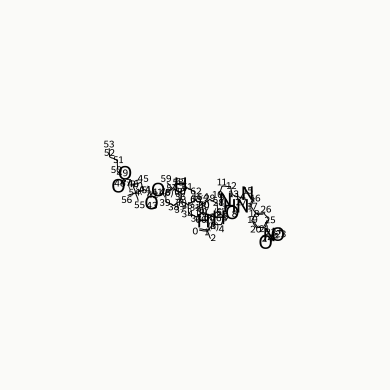 C=C(C)[C@@H]1CC[C@]2(C(=O)N3CCCC3c3ncc(-c4ccc([N+](=O)[O-])cc4)[nH]3)CC[C@]3(C)[C@H](CCC4[C@@]5(C)CC[C@H](OC(=O)[C@H]6C[C@@H](C(=O)OCCCC)C6(C)C)C(C)(C)[C@@H]5CC[C@]43C)[C@@H]12